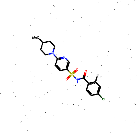 COC1CCN(c2ccc(S(=O)(=O)NC(=O)c3ccc(Cl)cc3C(F)(F)F)cn2)CC1